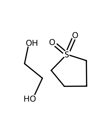 O=S1(=O)CCCC1.OCCO